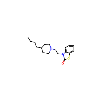 CCCCC1CCN(CCn2c(=O)sc3ccccc32)CC1